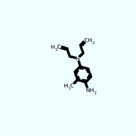 C=CCN(CC=C)c1ccc(N)c(C)c1